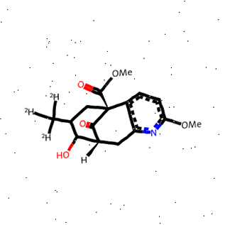 [2H]C([2H])([2H])C1C[C@@]2(C(=O)OC)C(=O)[C@H](Cc3nc(OC)ccc32)C1O